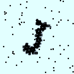 Cc1cc(Nc2nc(N3CCCC(NC(=O)C4CCN(CC5CCN(c6ccc(C(=O)N(C)C7CCC(=O)NC7=O)c(C=O)c6)CC5)CC4)C3)cnc2C(N)=O)sn1